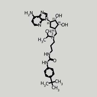 CC(C)N(CCCNC(=O)Nc1ccc(C(C)(C)C)cc1)C[C@H]1C[C@@H](n2cnc3c(N)ccnc32)[C@H](O)[C@@H]1O